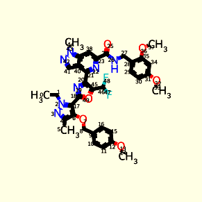 CCn1nc(C)c(OCc2ccc(OC)cc2)c1-c1nc(-c2nc(C(=O)NCc3ccc(OC)cc3OC)cc3c2cnn3C)c(C(F)F)o1